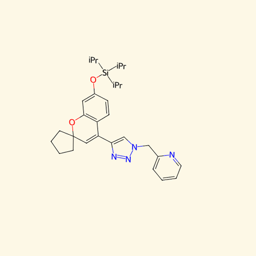 CC(C)[Si](Oc1ccc2c(c1)OC1(C=C2c2cn(Cc3ccccn3)nn2)CCCC1)(C(C)C)C(C)C